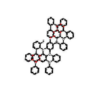 Fc1cccc(-c2ccccc2)c1N1c2cc3c(cc2B2c4ccccc4N(c4ccccc4)c4cc(N(c5ccccc5)c5ccccc5)cc1c42)B1c2ccccc2N(c2ccccc2-c2ccccc2)c2cc(N(c4ccccc4)c4ccccc4-c4ccccc4)cc(c21)S3